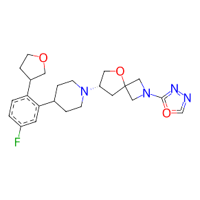 Fc1ccc(C2CCOC2)c(C2CCN([C@@H]3COC4(C3)CN(c3nnco3)C4)CC2)c1